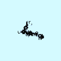 O=C(CN1CCN2CCC[C@H]2C1)NCc1ccc(C(=O)Nc2ccc(Cl)cc2N2CCN(CCC(F)(F)F)CC2)c(F)c1F